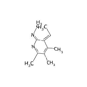 C/C=C1/C(C)=C(C)C(C)=N/C1=N/C